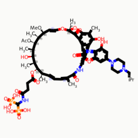 CO[C@H]1/C=C/O[C@@]2(C)Oc3c(C)c(O)c4c(=O)c(c5oc6cc(N7CCN(CC(C)C)CC7)cc(O)c6nc-5c4c3C2=O)NC(=O)/C(C)=C\C=C\[C@H](C)[C@H](OC(=O)CCC(=O)NC(P(=O)(O)O)P(=O)(O)O)[C@@H](C)[C@@H](O)[C@@H](C)[C@H](OC(C)=O)[C@@H]1C